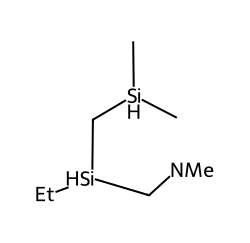 CC[SiH](CNC)C[SiH](C)C